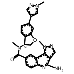 CN(C(=O)c1ccc2nc(N)c3cnn(C)c3c2c1)[C@@H]1COc2cc(-c3cnn(C)c3)ccc21